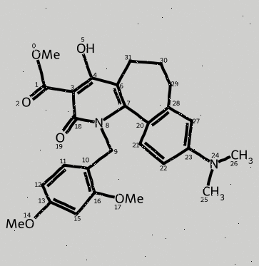 COC(=O)c1c(O)c2c(n(Cc3ccc(OC)cc3OC)c1=O)-c1ccc(N(C)C)cc1CCC2